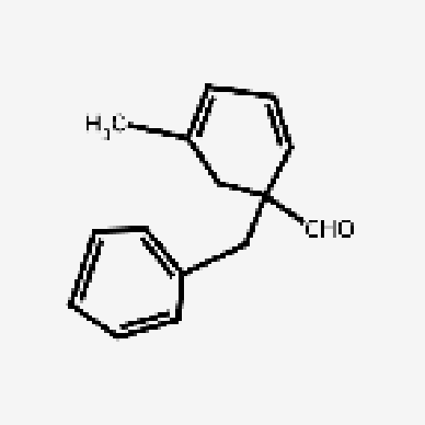 CC1=CC=CC(C=O)(Cc2ccccc2)C1